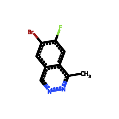 Cc1nncc2cc(Br)c(F)cc12